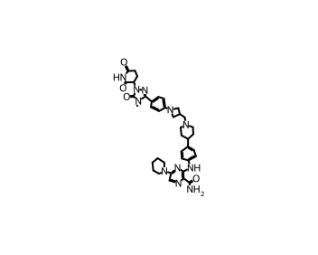 Cn1c(-c2ccc(N3CC(CN4CCC(c5ccc(Nc6nc(N7CCCCC7)cnc6C(N)=O)cc5)CC4)C3)cc2)nn(C2CCC(=O)NC2=O)c1=O